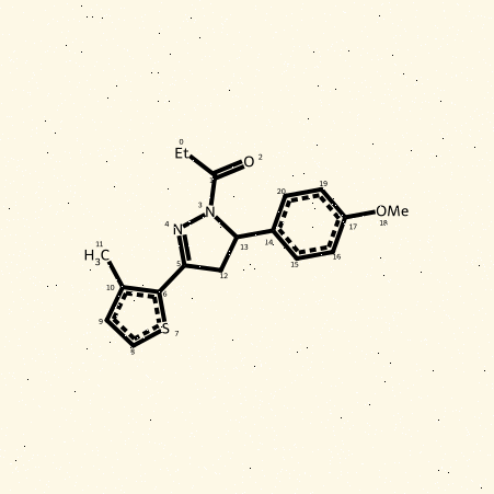 CCC(=O)N1N=C(c2sccc2C)CC1c1ccc(OC)cc1